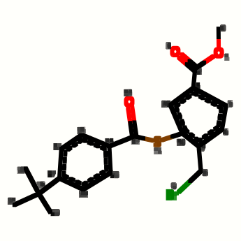 COC(=O)c1ccc(CBr)c(SC(=O)c2ccc(C(C)(C)C)cc2)c1